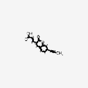 CC#Cc1ccc2cc(/C=C/C(=O)O)c(=O)oc2c1